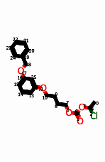 CC(Cl)OC(=O)OCCCCOc1cccc(OCc2ccccc2)c1